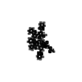 C=CC(=O)OCCNC(=O)OCC(COc1c(OC)cc(-c2nc3ccccc3s2)cc1-c1cccc2c1sc1ccccc12)(COc1c(OC)cc(-c2nc3ccccc3s2)cc1-c1cccc2c1sc1ccccc12)CSc1nc2ccccc2s1